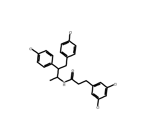 CC(NC(=O)CCc1cc(Cl)cc(Cl)c1)C(Cc1ccc(Cl)cc1)c1ccc(Cl)cc1